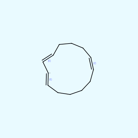 [C]1=C/CCCC/C=C\CCC/C=C/1